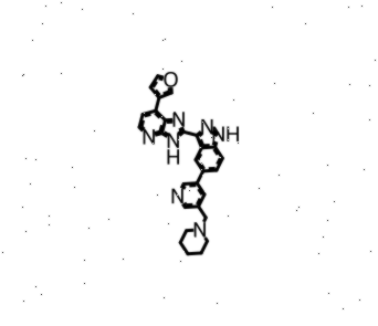 c1cc(-c2ccoc2)c2nc(-c3n[nH]c4ccc(-c5cncc(CN6CCCCC6)c5)cc34)[nH]c2n1